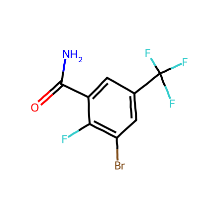 NC(=O)c1cc(C(F)(F)F)cc(Br)c1F